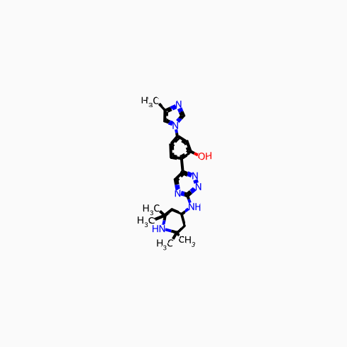 Cc1cn(-c2ccc(-c3cnc(NC4CC(C)(C)NC(C)(C)C4)nn3)c(O)c2)cn1